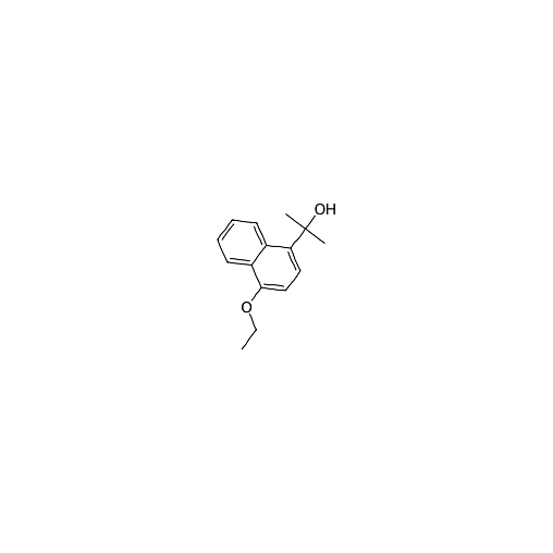 CCOc1ccc(C(C)(C)O)c2ccccc12